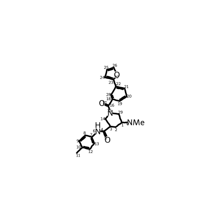 CNC1CC(C(=O)Nc2ccc(C)cc2)CN(C(=O)c2cccc(-c3ccco3)c2)C1